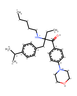 CCCCCNC(CC)(Cc1ccc(C(C)C)cc1)C(=O)c1ccc(N2CCOCC2)cc1